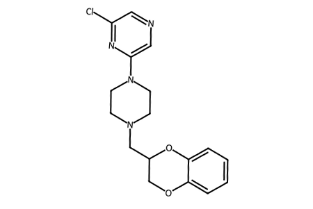 Clc1cncc(N2CCN(CC3COc4ccccc4O3)CC2)n1